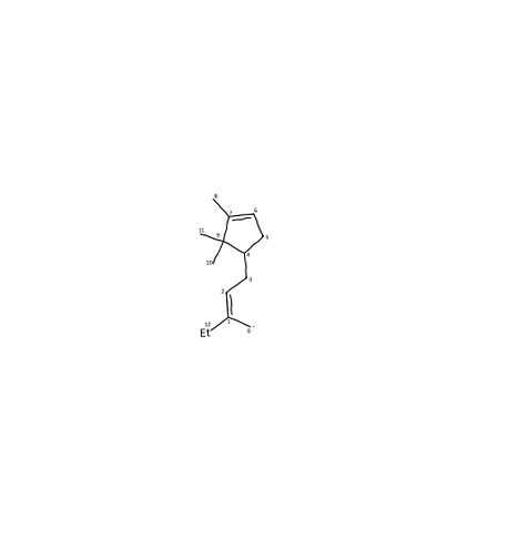 [CH2]C(=CCC1CC=C(C)C1(C)C)CC